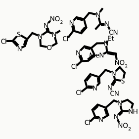 C/C(=N\C#N)N(C)Cc1ccc(Cl)nc1.CCN(Cc1ccc(Cl)nc1)/C(=C/[N+](=O)[O-])NC.CN1COCN(Cc2cnc(Cl)s2)/C1=N/[N+](=O)[O-].N#C/N=C1\SCCN1Cc1ccc(Cl)nc1.O=[N+]([O-])/N=C1\NCCN1Cc1ccc(Cl)nc1